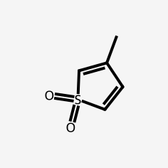 CC1=CS(=O)(=O)C=C1